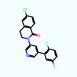 O=C1c2ccc(Cl)cc2CCN1c1cncc(-c2cc(F)ccc2F)c1